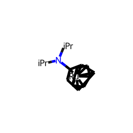 CC(C)N(C(C)C)[C]12[CH]3[CH]4[CH]5[CH]1[Ru]45321678[CH]2[CH]1[CH]6[CH]7[CH]28